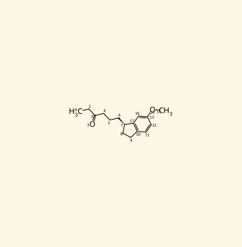 CCC(=O)CCC[C@@H]1CCc2ccc(OC)cc21